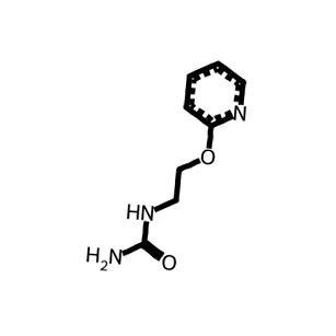 NC(=O)NCCOc1ccccn1